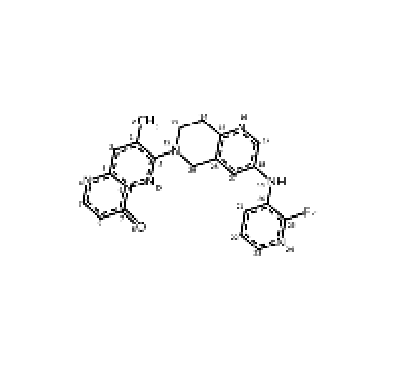 Cc1cc2nccc(=O)n2nc1N1CCc2ncc(Nc3cccnc3F)cc2C1